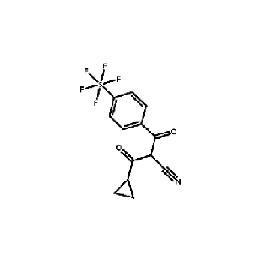 N#CC(C(=O)c1ccc(S(F)(F)(F)(F)F)cc1)C(=O)C1CC1